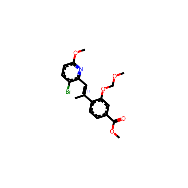 COCOc1cc(C(=O)OC)ccc1/C(C)=C/c1nc(OC)ccc1Br